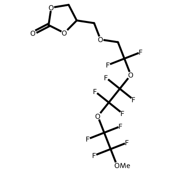 COC(F)(F)C(F)(F)OC(F)(F)C(F)(F)OC(F)(F)COCC1COC(=O)O1